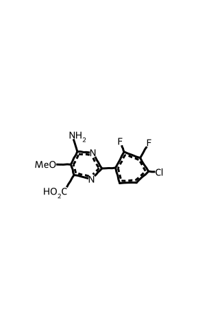 COc1c(N)nc(-c2ccc(Cl)c(F)c2F)nc1C(=O)O